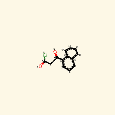 O=C(Cl)CC(=O)c1cccc2ccccc12